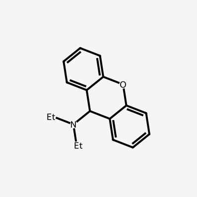 CCN(CC)C1c2ccccc2Oc2ccccc21